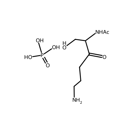 CC(=O)NC(CO)C(=O)CCCN.O=P(O)(O)O